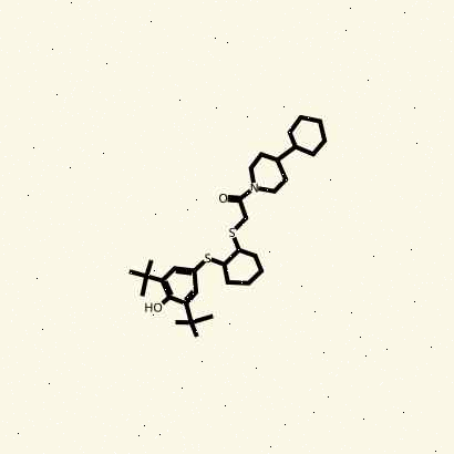 CC(C)(C)c1cc(SC2CCCCC2SCC(=O)N2CCC(C3CCCCC3)CC2)cc(C(C)(C)C)c1O